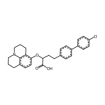 O=C(O)C(CCc1ccc(-c2ccc(Cl)cc2)cc1)Oc1ccc2c3c1CCCN3CCC2